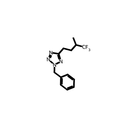 CC(CCc1nnn(Cc2ccccc2)n1)C(F)(F)F